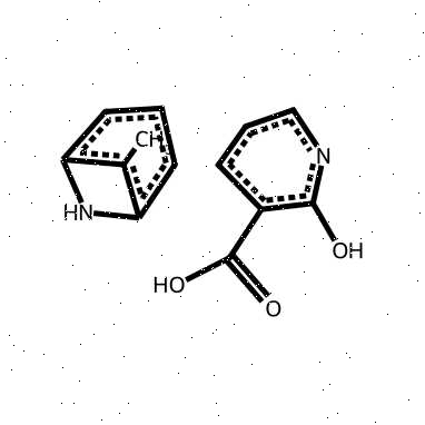 Cc1c2cccc1N2.O=C(O)c1cccnc1O